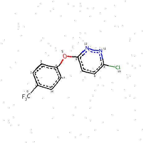 FC(F)(F)c1ccc(Oc2ccc(Cl)nn2)cc1